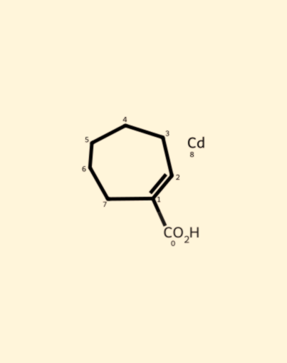 O=C(O)C1=CCCCCC1.[Cd]